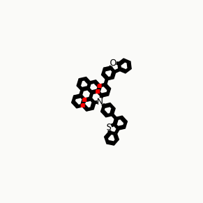 c1ccc(-c2cccc3cccc(-c4ccccc4N(c4ccc(-c5ccc6oc7ccccc7c6c5)cc4)c4ccc(-c5cccc6c5sc5ccccc56)cc4)c23)cc1